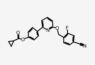 N#Cc1ccc(COc2cccc(-c3ccc(OC(=O)C4CC4)cc3)n2)c(F)c1